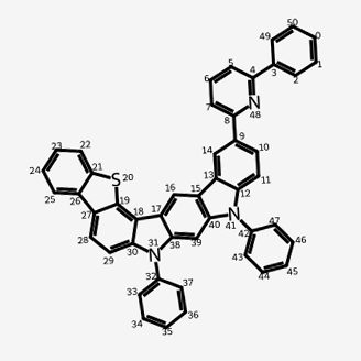 c1ccc(-c2cccc(-c3ccc4c(c3)c3cc5c6c7sc8ccccc8c7ccc6n(-c6ccccc6)c5cc3n4-c3ccccc3)n2)cc1